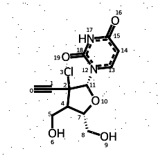 C#CC1(Cl)C(CO)[C@@H](CO)O[C@H]1n1ccc(=O)[nH]c1=O